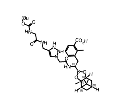 Cc1c(C[C@H](NC(=O)CN2C=C(CNC(=O)CNC(=O)OC(C)(C)C)NN2)B2O[C@@H]3C[C@@H]4C[C@@H](C4(C)C)[C@]3(C)O2)cccc1C(=O)O